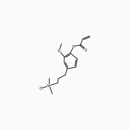 C=CC(=O)Oc1ccc(CCC[Si](C)(C)Cl)cc1OC